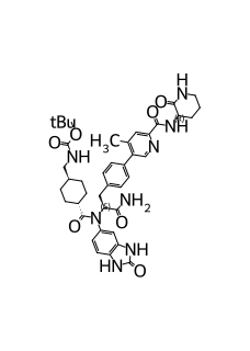 Cc1cc(C(=O)N[C@@H]2CCCNC2=O)ncc1-c1ccc(C[C@@H](C(N)=O)N(c2ccc3[nH]c(=O)[nH]c3c2)C(=O)[C@H]2CC[C@H](CNC(=O)OC(C)(C)C)CC2)cc1